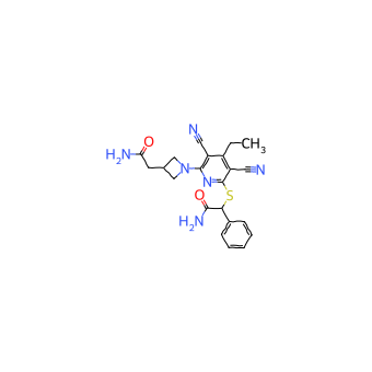 CCc1c(C#N)c(SC(C(N)=O)c2ccccc2)nc(N2CC(CC(N)=O)C2)c1C#N